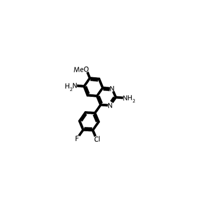 COc1cc2nc(N)nc(-c3ccc(F)c(Cl)c3)c2cc1N